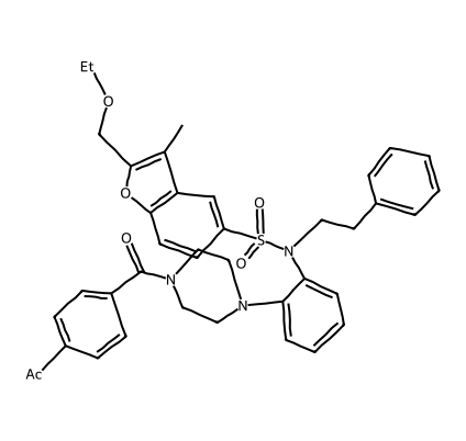 CCOCc1oc2ccc(S(=O)(=O)N(CCc3ccccc3)c3ccccc3N3CCN(C(=O)c4ccc(C(C)=O)cc4)CC3)cc2c1C